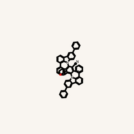 N#Cc1c(C#N)c(-n2c3ccc(-c4ccccc4)cc3c3cccc(-c4ccccc4)c32)c2c(c1-n1c3ccc(-c4ccccc4)cc3c3cccc(-c4ccccc4)c31)C1CCC2C1